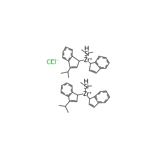 CC(C)C1=C[CH]([Zr+]([CH]2C=Cc3ccccc32)[SiH](C)C)c2ccccc21.CC(C)C1=C[CH]([Zr+]([CH]2C=Cc3ccccc32)[SiH](C)C)c2ccccc21.[Cl-].[Cl-]